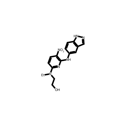 CCN(CCO)c1ccc([N+](=O)[O-])c(Nc2ccc3[nH]ncc3c2)n1